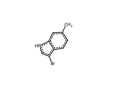 Cc1ccc2c(Br)c[nH]c2c1